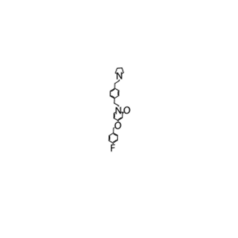 O=c1cc(OCc2ccc(F)cc2)ccn1CCc1ccc(CCN2CCCC2)cc1